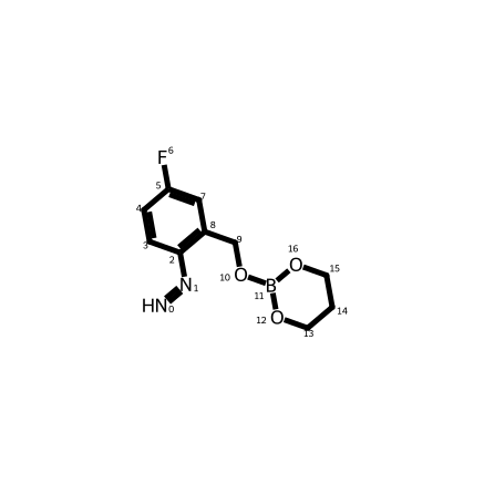 N=Nc1ccc(F)cc1COB1OCCCO1